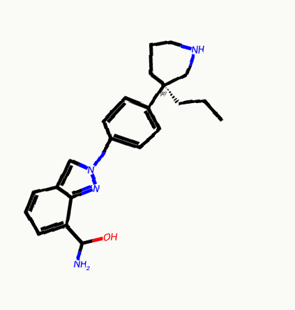 CCC[C@]1(c2ccc(-n3cc4cccc(C(N)O)c4n3)cc2)CCCNC1